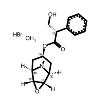 Br.CN1[C@@H]2C[C@@H](OC(=O)[C@H](CO)c3ccccc3)C[C@H]1[C@@H]1O[C@@H]12.O